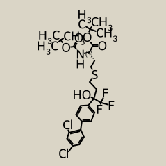 CC(C)(C)OC(=O)N[C@@H](CCSCCC(O)(c1ccc(-c2ccc(Cl)cc2Cl)cc1)C(F)(F)F)C(=O)OC(C)(C)C